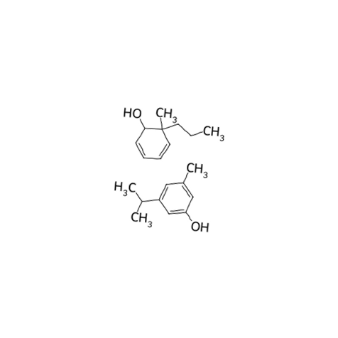 CCCC1(C)C=CC=CC1O.Cc1cc(O)cc(C(C)C)c1